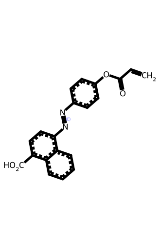 C=CC(=O)Oc1ccc(/N=N/c2ccc(C(=O)O)c3ccccc23)cc1